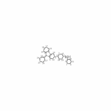 c1ccc(Nc2ccc(-c3ccc4c(c3)-c3ccccc3C4c3ccccc3)cc2)cc1